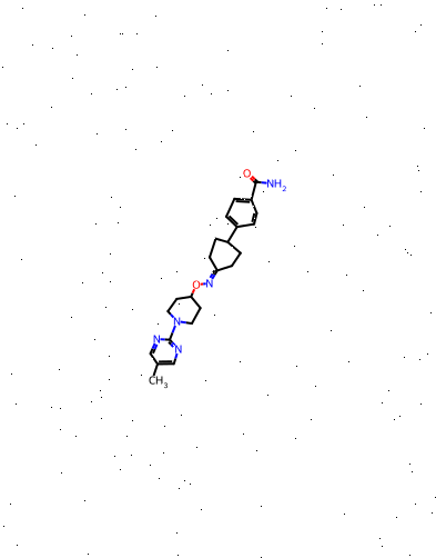 Cc1cnc(N2CCC(ON=C3CCC(c4ccc(C(N)=O)cc4)CC3)CC2)nc1